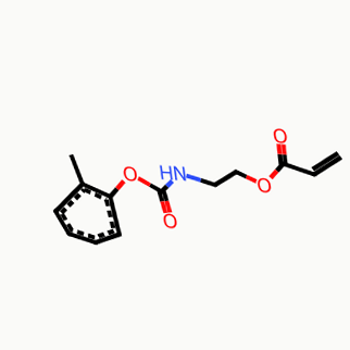 C=CC(=O)OCCNC(=O)Oc1ccccc1C